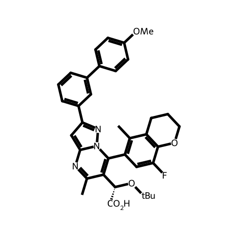 COc1ccc(-c2cccc(-c3cc4nc(C)c([C@H](OC(C)(C)C)C(=O)O)c(-c5cc(F)c6c(c5C)CCCO6)n4n3)c2)cc1